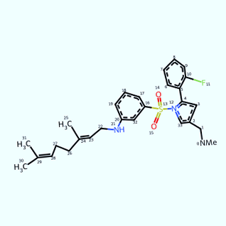 CNCc1cc(-c2ccccc2F)n(S(=O)(=O)c2cccc(NC/C=C(\C)CCC=C(C)C)c2)c1